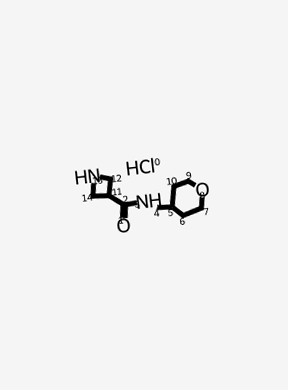 Cl.O=C(NCC1CCOCC1)C1CNC1